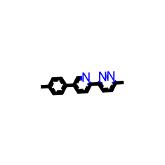 Cc1ccc(-c2ccc(-c3ccc(C)nn3)nc2)cc1